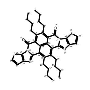 CCCCc1c(CCCC)c2c(=O)n3c(nc4ccsc43)c3c(CCCC)c(CCCC)c4c(c1c(=O)n1c4nc4ccsc41)c23